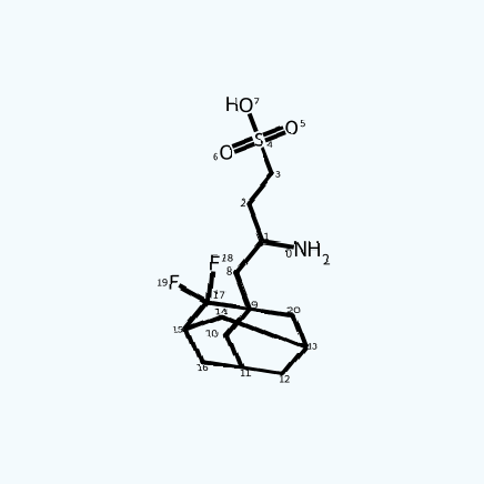 NC(CCS(=O)(=O)O)CC12CC3CC(CC(C3)C1(F)F)C2